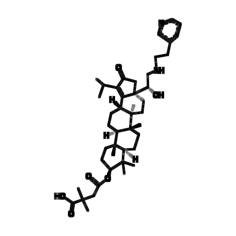 CC(C)C1=C2[C@H]3CC[C@@H]4[C@@]5(C)CC[C@H](OC(=O)CC(C)(C)C(=O)O)C(C)(C)[C@@H]5CC[C@@]4(C)[C@]3(C)CC[C@@]2([C@@H](O)CNCCc2cccnc2)CC1=O